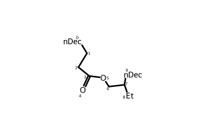 CCCCCCCCCCCCC(=O)OCC(CC)CCCCCCCCCC